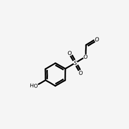 O=COS(=O)(=O)c1ccc(O)cc1